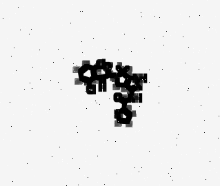 CC1(C)c2[nH]nc(NC(=O)c3cccs3)c2CN1C(=O)Nc1c(Cl)cccc1Cl